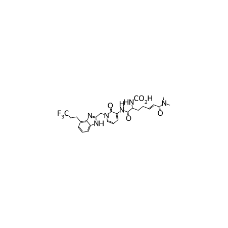 CN(C)C(=O)C=CCCC(NC(=O)O)C(=O)Nc1cccn(Cc2nc3c(CCC(F)(F)F)cccc3[nH]2)c1=O